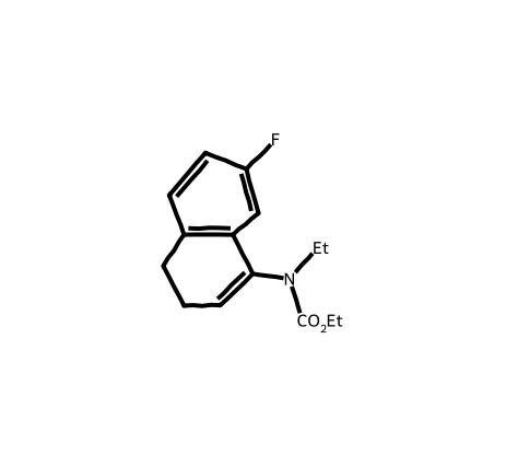 CCOC(=O)N(CC)C1=CCCc2ccc(F)cc21